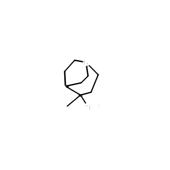 CC(=O)NC1(C)CCN2CCC1CC2